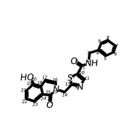 O=C(NCc1ccccc1)c1cnc(Cn2ccc3c(O)cccc3c2=O)s1